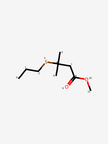 CCCSC(C)(C)CC(=O)OC